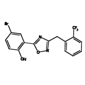 Oc1ccc(Br)cc1-c1nc(Cc2ccccc2C(F)(F)F)no1